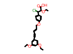 CCOc1cc(C#CC=CCOc2ccc(C(Cl)C(OCC)C(=O)O)cc2)cc(OCC)c1